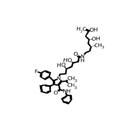 C=C(O)C[C@H](O)C[C@H](C)CCNC(=O)C[C@H](O)C[C@H](O)CCn1c(-c2ccc(F)cc2)c(-c2ccccc2)c(C(=O)Nc2ccccc2)c1C(C)C